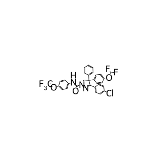 O=C(Nc1ccc(OC(F)(F)F)cc1)N1CC(c2ccccc2)(c2ccc(OC(F)F)cc2)C(c2ccc(Cl)cc2)=N1